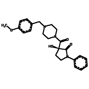 COc1ccc(CN2CCN(C(=O)[C@@]3(O)CCN(c4ccccc4)C3=O)CC2)cc1